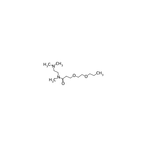 CCCOCCOCCC(=O)N(C)CCN(C)C